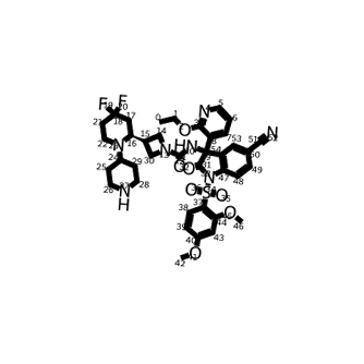 CCOc1ncccc1C1(NC(=O)N2CC([C@@H]3CC(F)(F)CCN3C3CCNCC3)C2)C(=O)N(S(=O)(=O)c2ccc(OC)cc2OC)c2ccc(C#N)cc21